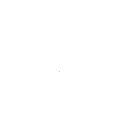 CNc1c(Br)cc(Cl)cc1[N+](=O)[O-]